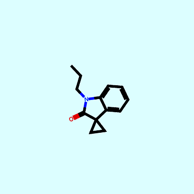 CCCN1C(=O)C2(CC2)c2ccccc21